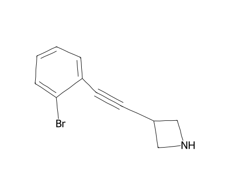 Brc1ccccc1C#CC1CNC1